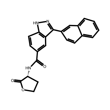 O=C(N[C@@H]1CCOC1=O)c1ccc2[nH]nc(-c3ccc4ccccc4c3)c2c1